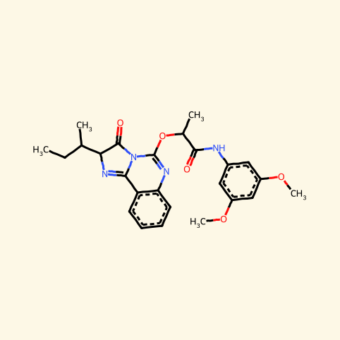 CCC(C)C1N=C2c3ccccc3N=C(OC(C)C(=O)Nc3cc(OC)cc(OC)c3)N2C1=O